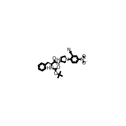 CC(C)(C)OC(=O)N[C@@H](Cc1ccccc1)C(=O)N[C@H]1CCN(c2ccc([N+](=O)[O-])cc2C#N)C1